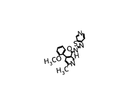 COc1ccccc1-c1cc(C)ncc1C(=O)Nc1nc2ccncc2s1